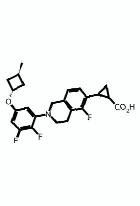 C[C@H]1C[C@H](Oc2cc(F)c(F)c(N3CCc4c(ccc(C5CC5C(=O)O)c4F)C3)c2)C1